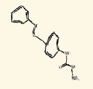 NNC(=O)Nc1ccc(N=Nc2ccccc2)cc1